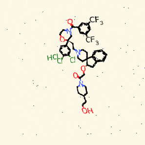 Cl.O=C(CO[C@H]1Cc2ccccc2C12CCN(CC[C@]1(c3ccc(Cl)c(Cl)c3)CN(C(=O)c3cc(C(F)(F)F)cc(C(F)(F)F)c3)CCO1)CC2)N1CCC(CCO)CC1